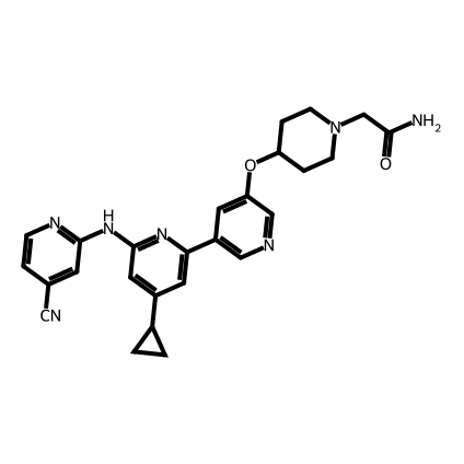 N#Cc1ccnc(Nc2cc(C3CC3)cc(-c3cncc(OC4CCN(CC(N)=O)CC4)c3)n2)c1